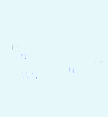 CC(C)Nc1ccc(-c2ncc(C(F)(F)F)cc2Cl)cc1N